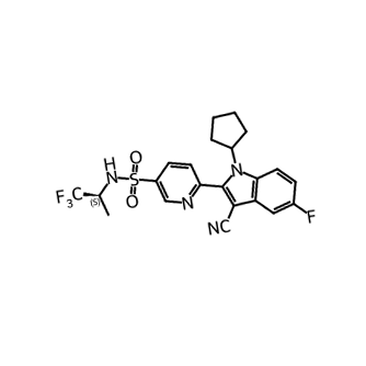 C[C@H](NS(=O)(=O)c1ccc(-c2c(C#N)c3cc(F)ccc3n2C2CCCC2)nc1)C(F)(F)F